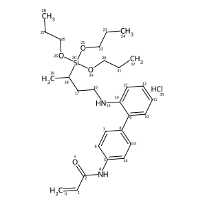 C=CC(=O)Nc1ccc(-c2ccccc2NCCC(C)[Si](OCCC)(OCCC)OCCC)cc1.Cl